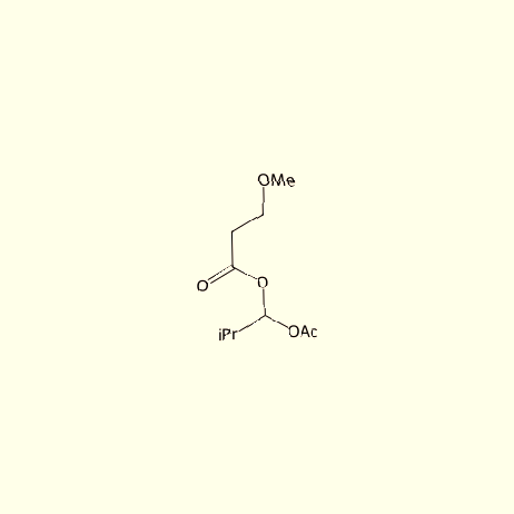 COCCC(=O)OC(OC(C)=O)C(C)C